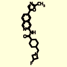 Cc1ncc(-c2ccc3cnc(NC(=O)C4CCC(CN5CC(F)C5)CC4)cc3c2)o1